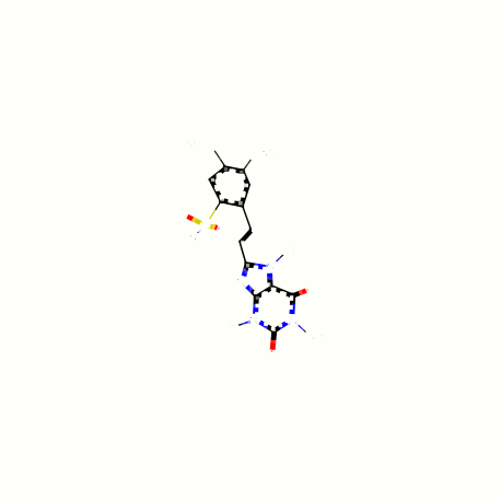 CCCn1c(=O)c2c(nc(C=Cc3cc(OC)c(OC)cc3S(N)(=O)=O)n2C)n(CCC)c1=O